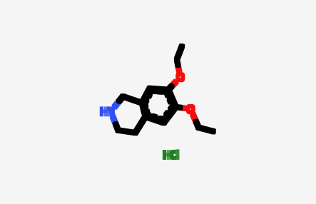 CCOc1cc2c(cc1OCC)CNCC2.Cl